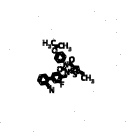 CCc1cc2c(=O)n(-c3ccc(OC(C)C)cc3)c(=O)n(Cc3ccc(-c4ccccc4C#N)cc3F)c2s1